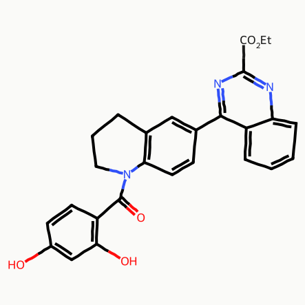 CCOC(=O)c1nc(-c2ccc3c(c2)CCCN3C(=O)c2ccc(O)cc2O)c2ccccc2n1